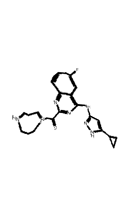 O=C(c1nc(Nc2cc(C3CC3)[nH]n2)c2cc(F)ccc2n1)N1CCNCC1